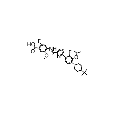 COc1cc(C(=O)O)c(F)cc1NSc1csc(-c2ccc([C@H]3CC[C@H](C(C)(C)C)CC3)c(OC(C)C)c2F)n1